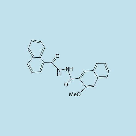 COc1cc2ccccc2cc1C(=O)NNC(=O)c1cccc2ccccc12